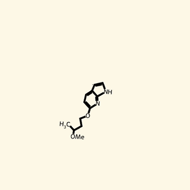 COC(C)CCOc1ccc2[c]c[nH]c2n1